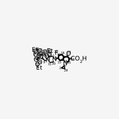 CCOOP(=O)(OOCC)C(CN1CCN(c2cc3c(cc2F)c(=O)c(C(=O)O)cn3C2CC2)CC1)P(=O)(OOCC)OOCC